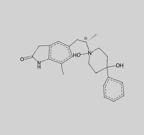 Cc1cc(C[C@H](C)[N+]2(O)CCC(O)(c3ccccc3)CC2)cc2c1NC(=O)C2